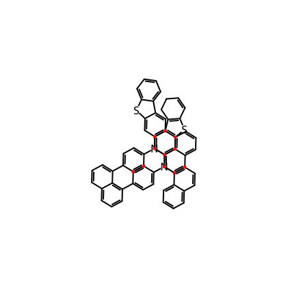 C1=Cc2sc3cc(N(c4ccc(-c5cccc6cccc(-c7ccc(N(c8ccc9c(c8)sc8ccccc89)c8cccc9ccccc89)cc7)c56)cc4)c4cccc5ccccc45)ccc3c2CC1